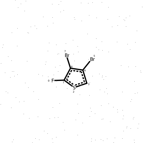 Fc1scc(Br)c1Br